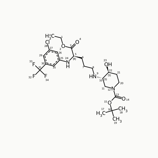 CCOC(=O)[C@@H](CCCN[C@H]1CN(C(=O)OC(C)(C)C)CC[C@@H]1O)Nc1cc(Cl)cc(C(F)(F)F)c1